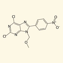 COCn1c(-c2ccc([N+](=O)[O-])cc2)nc2c(Cl)nc(Cl)nc21